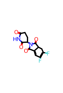 O=C1CCC(N2C(=O)C3=CC(F)=C(F)CC3C2=O)C(=O)N1